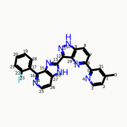 Cc1ccnc(-c2ccc3[nH]nc(-c4nc5c(-c6ccccc6F)nccc5[nH]4)c3n2)c1